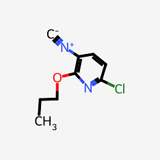 [C-]#[N+]c1ccc(Cl)nc1OCCC